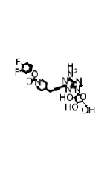 Nc1nc(C#CCC2CCN(C(=O)Oc3ccc(F)c(F)c3)CC2)nc2c1ncn2[C@@H]1O[C@H](CO)C(O)[C@@H]1O